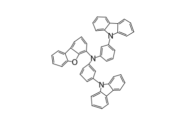 c1cc(N(c2cccc(-n3c4ccccc4c4ccccc43)c2)c2cccc3c2oc2ccccc23)cc(-n2c3ccccc3c3ccccc32)c1